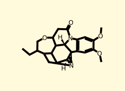 CCC1COC2CC(=O)N3c4cc(OC)c(OC)cc4[C@]45CCN6CC1C(C[C@H]64)C2[C@H]35